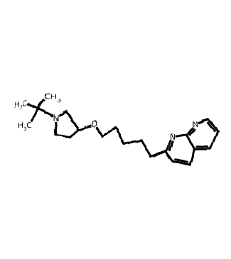 CC(C)(C)N1CCC(OCCCCCc2ccc3cccnc3n2)C1